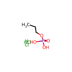 CCCOP(=O)(O)O.Cl.Cl